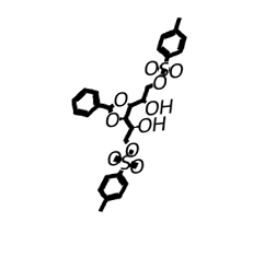 Cc1ccc(S(=O)(=O)OC[C@@H](O)[C@H]2OC(c3ccccc3)O[C@@H]2[C@H](O)COS(=O)(=O)c2ccc(C)cc2)cc1